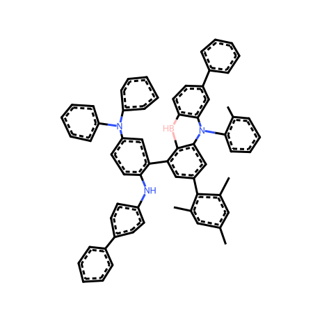 Cc1cc(C)c(-c2cc(-c3cc(N(c4ccccc4)c4ccccc4)ccc3Nc3ccc(-c4ccccc4)cc3)c3c(c2)N(c2ccccc2C)c2cc(-c4ccccc4)ccc2B3)c(C)c1